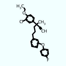 C#CC(C)(CCCc1cccc(Oc2ccc(F)cc2)c1)c1ccc(OCC)c(Cl)c1